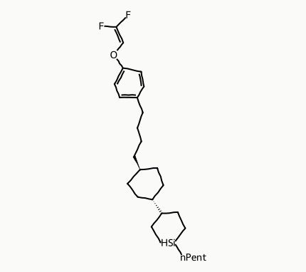 CCCCC[SiH]1CCC([C@H]2CC[C@H](CCCCc3ccc(OC=C(F)F)cc3)CC2)CC1